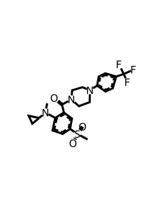 CN(c1ccc(S(C)(=O)=O)cc1C(=O)N1CCN(c2ccc(C(F)(F)F)cc2)CC1)C1CC1